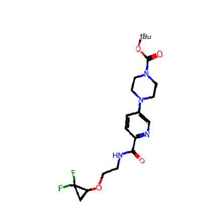 CC(C)(C)OC(=O)N1CCN(c2ccc(C(=O)NCCOC3CC3(F)F)nc2)CC1